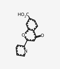 O=C(O)c1ccc2c(=O)cc(-c3ccccn3)oc2c1